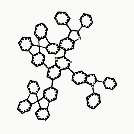 c1ccc(C2=Nc3cc(-c4nc(-c5ccc6c(c5)cc(-c5ccccc5)n6-c5ccccc5)c5cc(-c6ccc7c(c6)C6(c8ccccc8-c8ccccc86)c6ccccc6-7)cc(-c6ccc7c(c6)C6(c8ccccc8-c8ccccc86)c6ccccc6-7)c5n4)ccc3C2c2ccccc2)cc1